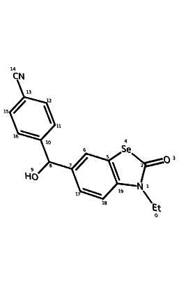 CCn1c(=O)[se]c2cc(C(O)c3ccc(C#N)cc3)ccc21